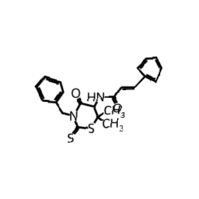 CC1(C)SC(=S)N(Cc2ccccc2)C(=O)C1NC(=O)/C=C/c1ccccc1